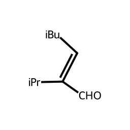 CCC(C)C=C(C=O)C(C)C